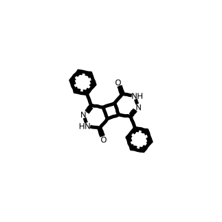 O=C1NN=C(c2ccccc2)C2C1C1C(c3ccccc3)=NNC(=O)C21